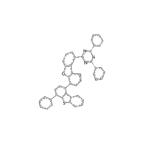 c1ccc(-c2nc(-c3ccccc3)nc(-c3cccc4oc5c(-c6ccc(-c7ccccc7)c7sc8ccccc8c67)cccc5c34)n2)cc1